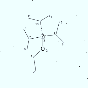 CC[O][Zr]([CH](C)C)([CH](C)C)[CH](C)C